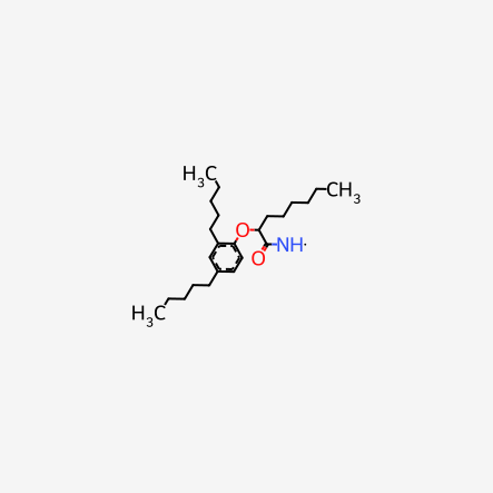 CCCCCCC(Oc1ccc(CCCCC)cc1CCCCC)C([NH])=O